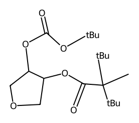 CC(C)(C)OC(=O)OC1COCC1OC(=O)C(C)(C(C)(C)C)C(C)(C)C